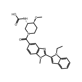 CCn1c(-c2nc3cc(C(=O)N4CC[C@H](OC)[C@@H](NC(=O)O)C4)ccc3n2C)cc2ccccc21